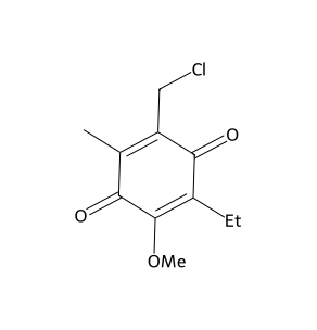 CCC1=C(OC)C(=O)C(C)=C(CCl)C1=O